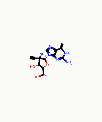 C#CC1(N)[C@@H](O)[C@@H]([C@H](C)O)O[C@H]1n1cnc2c1N=C(N)NC2=C